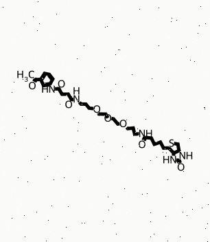 CC(=O)c1cccc(NC(=O)CCC(=O)NCCCOCCOCCOCCCNC(=O)CCCCC2SCC3NC(=O)NC32)c1